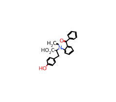 C=CN(c1ccccc1C(=O)c1ccccc1)[C@@H](Cc1ccc(O)cc1)C(=O)O